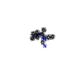 N#Cc1cccc(-c2nc(-c3ccc(-c4ccccc4)cc3)nc(-c3cc(-c4ccccc4)cc(-n4c5ccccc5c5c(-n6c7ccccc7c7ccccc76)cccc54)c3)n2)c1